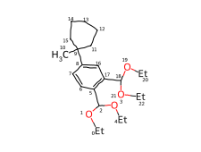 CCOC(OCC)c1ccc(C2(C)CCCCC2)cc1C(OCC)OCC